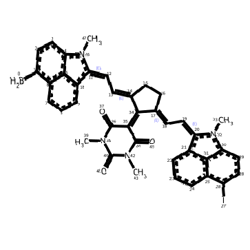 Bc1ccc2c3c1cccc3/c(=C\C=C1/CC/C(=C\C=c3/c4cccc5c(I)ccc(c54)n3C)C1=C1C(=O)N(C)C(=O)N(C)C1=O)n2C